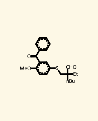 CCCCC(C=O)(CC)CSc1ccc(OC)c(C(=O)c2ccccc2)c1